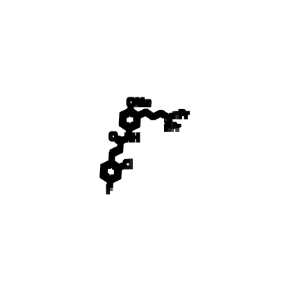 CCCN(CCC)CCCc1cc(NC(=O)C=Cc2ccc(F)cc2Cl)ccc1OC